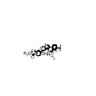 C[C@@H](Nc1ccnc2cnc(C3(O)CCN(C(=O)N(C)C)CC3)cc12)c1cccc(C(F)F)c1F